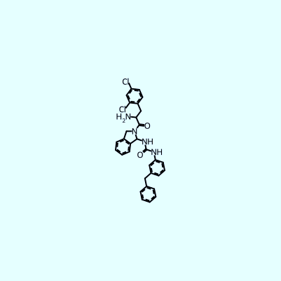 NC(Cc1ccc(Cl)cc1Cl)C(=O)N1Cc2ccccc2C1NC(=O)Nc1cccc(Cc2ccccc2)c1